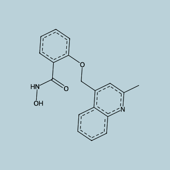 Cc1cc(COc2ccccc2C(=O)NO)c2ccccc2n1